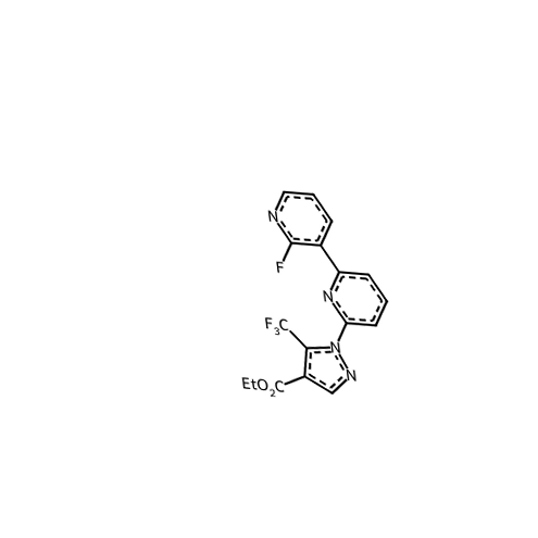 CCOC(=O)c1cnn(-c2cccc(-c3cccnc3F)n2)c1C(F)(F)F